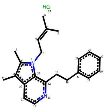 CC(C)=CCn1c(C)c(C)c2ccnc(CCc3ccccc3)c21.Cl